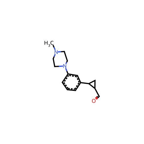 CN1CCN(c2cccc(C3CC3C=O)c2)CC1